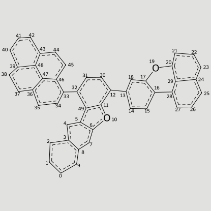 c1ccc2cc3c(cc2c1)oc1c(-c2ccc4c(c2)Oc2cccc5cccc-4c25)ccc(-c2ccc4ccc5cccc6ccc2c4c56)c13